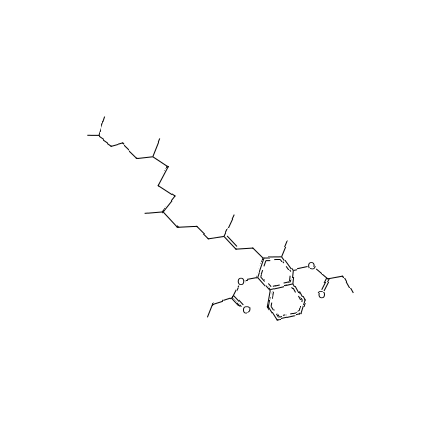 CCC(=O)Oc1c(C)c(C/C=C(\C)CCCC(C)CCCC(C)CCCC(C)C)c(OC(=O)CC)c2ccccc12